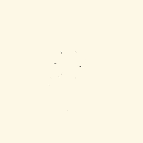 CN(C(=O)c1cc2ccccc2[nH]1)[C@@H]1O[C@H](CO)[C@H](O)[C@H](n2cc(-c3cccc(F)c3)nn2)[C@H]1O